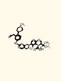 Cc1c(N2CCc3cnc(Nc4ccc(C5CCN(C)CC5)c(CC#N)c4)nc3C2)cnc2c1N(C(=O)O)C(C(C)(C)C)CO2